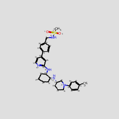 CS(=O)(=O)NCc1ccc(-c2ccnc(N[C@@H]3CCCC[C@H]3N[C@H]3CCCN(c4ccc(C#N)cc4)C3)c2)cc1